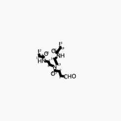 O=CCCC(=O)N(CCNC(=O)CI)CCNC(=O)CI